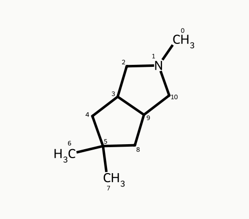 CN1CC2CC(C)(C)CC2C1